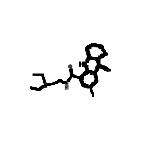 CCN(CC)CCNC(=O)c1cc(I)cc2c(=O)c3ccccc3[nH]c12